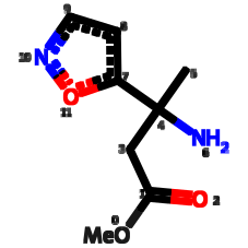 COC(=O)CC(C)(N)c1ccno1